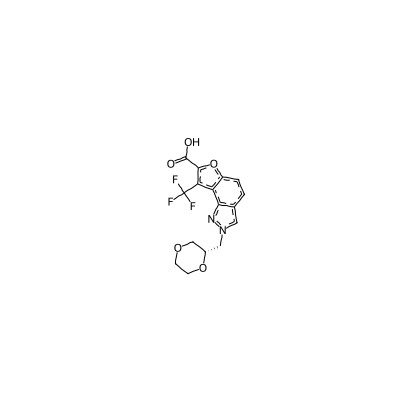 O=C(O)c1oc2ccc3cn(C[C@H]4COCCO4)nc3c2c1C(F)(F)F